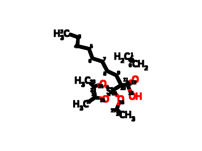 C=C.CCCCCCCCC(C(=O)O)[Si](OCC)(OCC)OCC